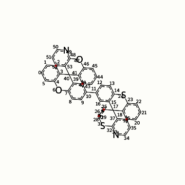 c1ccc2c(c1)Oc1ccc(-c3ccc4c(c3)C3(c5ccccc5S4)c4ccccc4Sc4ncccc43)cc1C21c2ccccc2Oc2ncccc21